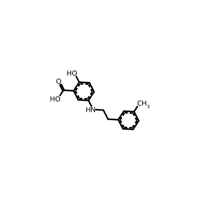 Cc1cccc(CCNc2ccc(O)c(C(=O)O)c2)c1